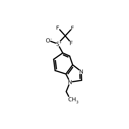 CCn1cnc2cc([S+]([O-])C(F)(F)F)ccc21